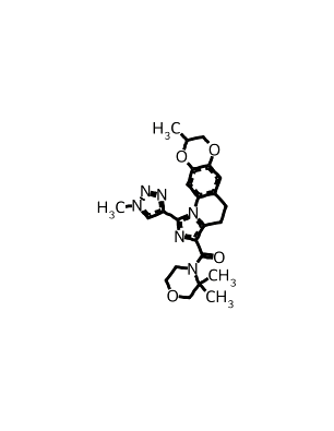 CC1COc2cc3c(cc2O1)-n1c(-c2cn(C)nn2)nc(C(=O)N2CCOCC2(C)C)c1CC3